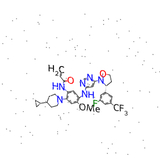 C=CC(=O)Nc1cc(Nc2cc(N3OCC[C@@H]3c3cc(F)cc(C(F)(F)F)c3)ncn2)c(OC)cc1N1CCC(C2CC2)CC1